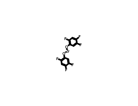 Fc1cc(F)c([O][Zr][O]c2cc(F)c(F)cc2F)cc1F